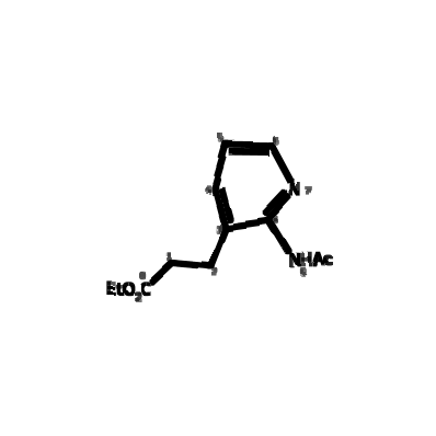 CCOC(=O)CCc1cccnc1NC(C)=O